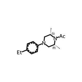 CCc1ccc(N2C[C@@H](C)N(C(C)=O)[C@@H](C)C2)cc1